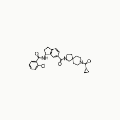 O=C(NC1CCc2ccc(C(=O)N3CCC4(CCN(C(=O)C5CC5)CC4)C3)cc21)c1ccccc1Cl